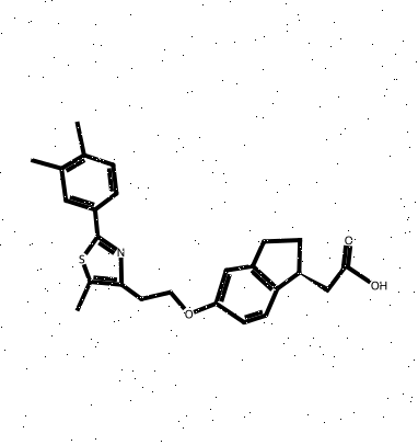 Cc1ccc(-c2nc(CCOc3ccc4c(c3)CC[C@H]4CC(=O)O)c(C)s2)cc1C